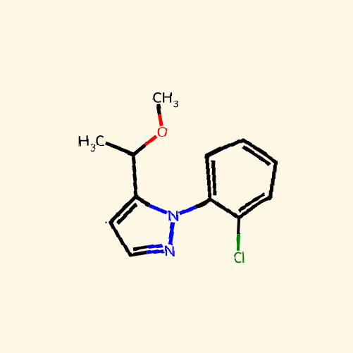 COC(C)c1[c]cnn1-c1ccccc1Cl